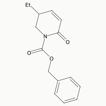 CCC1C=CC(=O)N(C(=O)OCc2ccccc2)C1